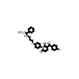 Nc1c(C(=O)c2ccc(F)cc2)ccc(=O)n1-c1ccc(OCCCNC(C(=O)O)c2ccccc2)cc1